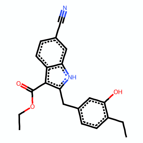 CCOC(=O)c1c(Cc2ccc(CC)c(O)c2)[nH]c2cc(C#N)ccc12